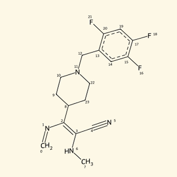 C=N/C(=C(/C#N)NC)C1CCN(Cc2cc(F)c(F)cc2F)CC1